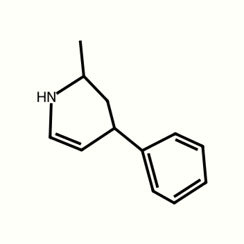 CC1CC(c2ccccc2)C=CN1